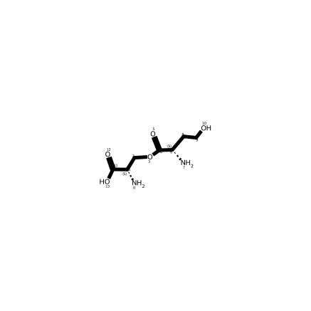 N[C@@H](COC(=O)[C@@H](N)CCO)C(=O)O